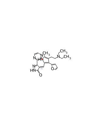 CCN(CC)CCc1c(C)[nH]c(/C=C2/C(=O)NN=C2c2cnccn2)c1-c1ccco1